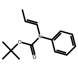 CC=CN(C(=O)OC(C)(C)C)c1ccccc1